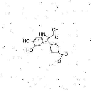 O=C(O)c1ccc(-c2c(C(=O)O)[nH]c3cc(O)c(O)cc23)cc1